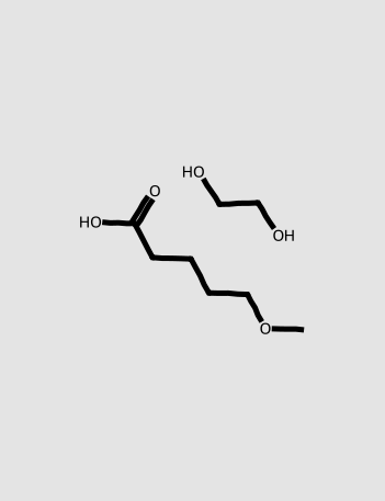 COCCCCC(=O)O.OCCO